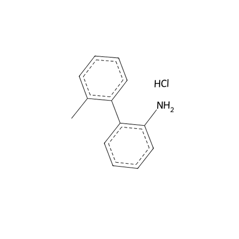 Cc1ccccc1-c1ccccc1N.Cl